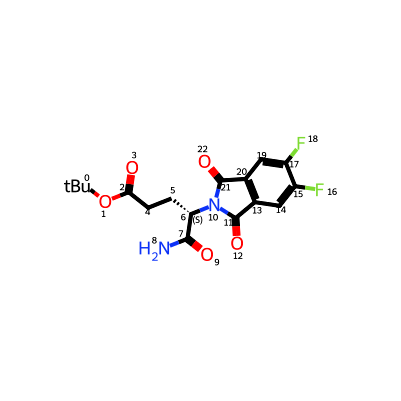 CC(C)(C)OC(=O)CC[C@@H](C(N)=O)N1C(=O)c2cc(F)c(F)cc2C1=O